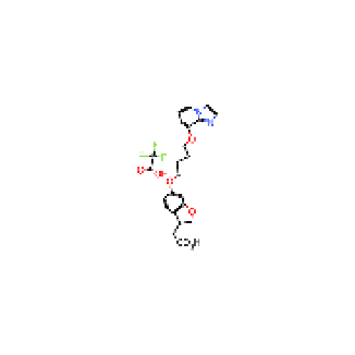 O=C(O)C(F)(F)F.O=C(O)CC1COc2cc(OCCCCOc3cccn4ccnc34)ccc21